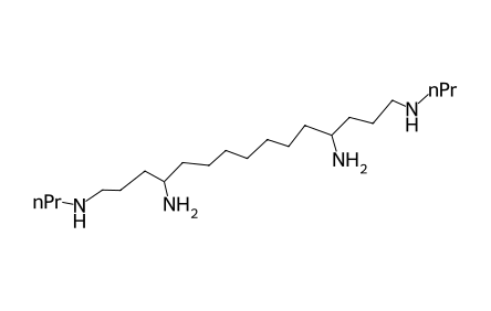 CCCNCCCC(N)CCCCCCCC(N)CCCNCCC